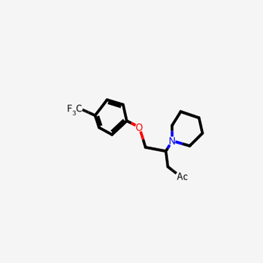 CC(=O)CC(COc1ccc(C(F)(F)F)cc1)N1CCCCC1